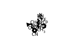 Cc1cc(C#N)cc(C(=O)NC(C)C2CC2)c1NC(=O)c1cc(Cn2nnnc2C(F)(F)F)nn1-c1ncccc1Cl